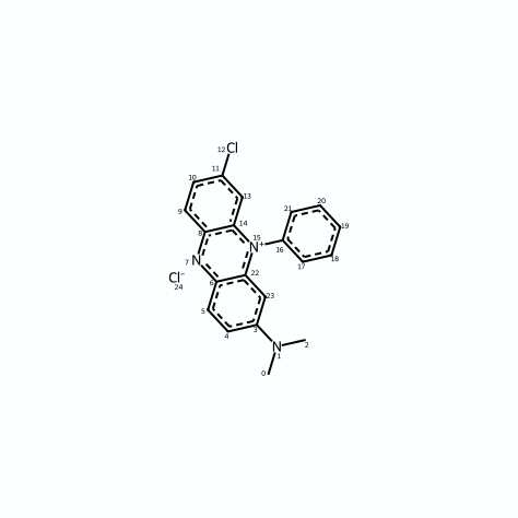 CN(C)c1ccc2nc3ccc(Cl)cc3[n+](-c3ccccc3)c2c1.[Cl-]